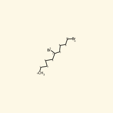 CCCCCC(Br)CCCCBr